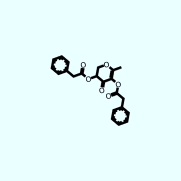 CC1=C(OC(=O)Cc2ccccc2)C(=O)C(OC(=O)Cc2ccccc2)CO1